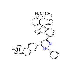 CC1(C)c2ccccc2C2(c3ccccc3-c3c(-c4cc(-c5ccc6c7c(ccc6c5)C5=C[C@H]5C=C7)nc(-c5ccccc5)n4)cccc32)c2ccccc21